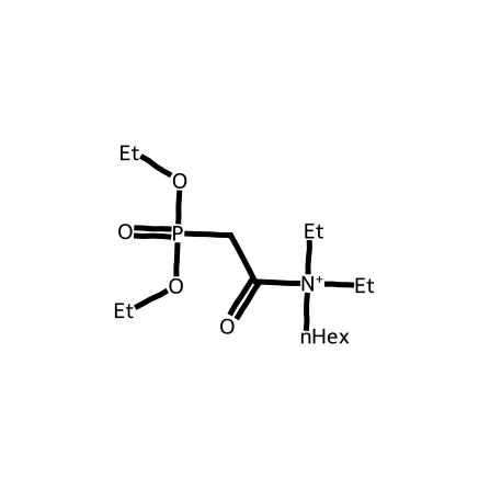 CCCCCC[N+](CC)(CC)C(=O)CP(=O)(OCC)OCC